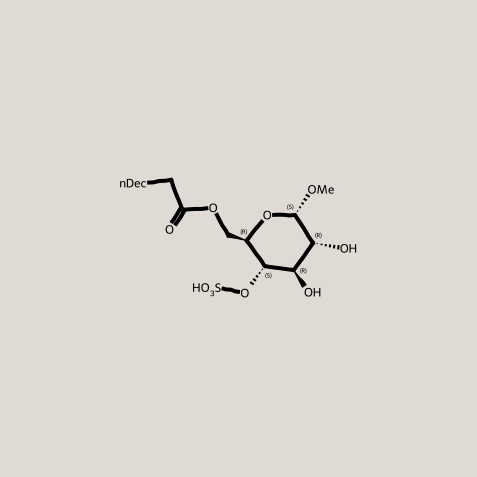 CCCCCCCCCCCC(=O)OC[C@H]1O[C@H](OC)[C@H](O)[C@@H](O)[C@@H]1OS(=O)(=O)O